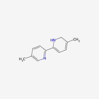 CC1=CC=C(c2ccc(C)cn2)NC1